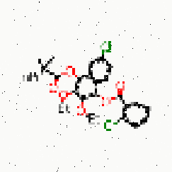 CCCC(C)(C)C(=O)Oc1c(OCC)c(OCC)c(OC(=O)c2ccccc2Cl)c2ccc(Cl)cc12